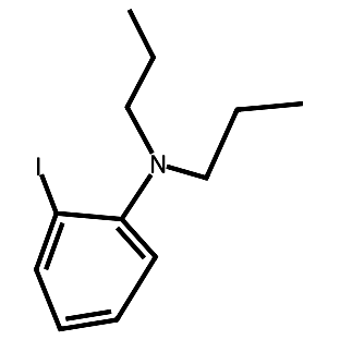 CCCN(CCC)c1ccccc1I